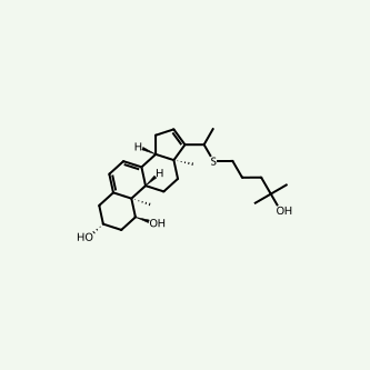 CC(SCCCC(C)(C)O)C1=CC[C@H]2C3=CC=C4C[C@@H](O)C[C@H](O)[C@]4(C)[C@H]3CC[C@]12C